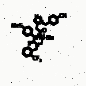 CC[C@H](C)[C@@H](CN(Cc1ccccc1C(F)(F)F)C(=S)Nc1ccc(SC)cc1)NC(=O)Cc1cncn1Cc1ccc(C#N)cc1